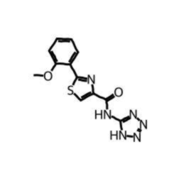 COc1ccccc1-c1nc(C(=O)Nc2nnn[nH]2)cs1